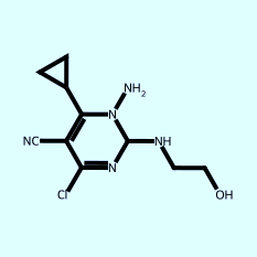 N#CC1=C(C2CC2)N(N)C(NCCO)N=C1Cl